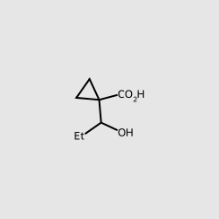 CCC(O)C1(C(=O)O)CC1